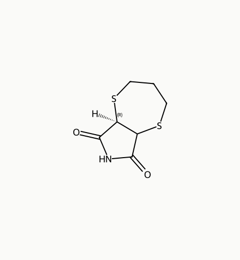 O=C1NC(=O)[C@H]2SCCCSC12